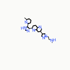 CNCCn1cc(-c2cnc3ccc(-c4nc[nH]c4-c4cccc(C)n4)nc3c2)cn1